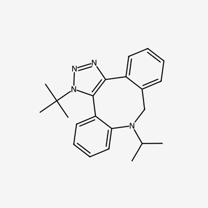 CC(C)N1Cc2ccccc2-c2nnn(C(C)(C)C)c2-c2ccccc21